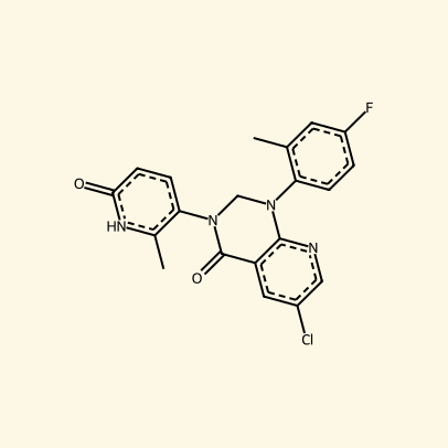 Cc1cc(F)ccc1N1CN(c2ccc(=O)[nH]c2C)C(=O)c2cc(Cl)cnc21